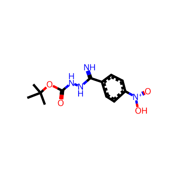 CC(C)(C)OC(=O)NNC(=N)c1ccc([N+](=O)O)cc1